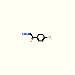 [N-]=[N+]=CC(=O)c1ccc(C(F)(F)F)cc1